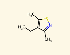 CCc1c(C)nsc1C